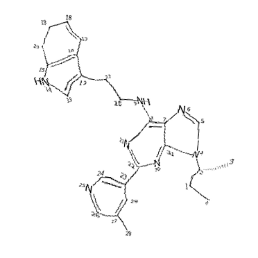 CC[C@@H](C)n1cnc2c(NCCc3c[nH]c4c3C=CCC4)nc(-c3cncc(C)c3)nc21